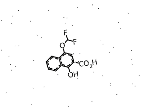 O=C(O)c1cc(OC(F)F)c2ccccc2c1O